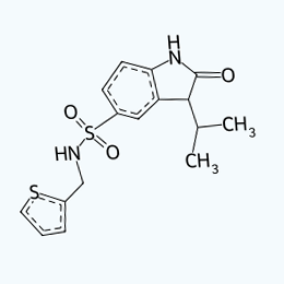 CC(C)C1C(=O)Nc2ccc(S(=O)(=O)NCc3cccs3)cc21